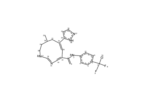 C=C(Nc1ccc(C(F)(F)Cl)cc1)C1=C/N=C/NCCC(C)C/C(c2ccn[nH]2)=C\1